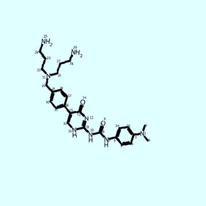 CN(C)c1ccc(NC(=O)Nc2nc(=O)c(-c3ccc(CN(CCCN)CCCN)cc3)c[nH]2)cc1